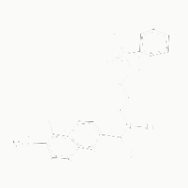 CCCN(CCCOS(=O)(=O)c1ccccc1)C(CC)c1ccc2c(C)c(OC)ccc2c1